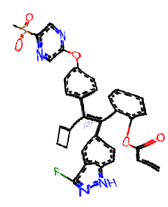 C=CC(=O)Oc1ccccc1/C(=C(\c1ccc(Oc2cnc(S(C)(=O)=O)cn2)cc1)C1CCC1)c1ccc2[nH]nc(F)c2c1